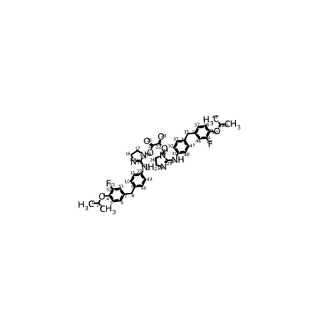 CC(C)Oc1ccc(Cc2ccc(NC3=NCCN3OC(=O)C(=O)ON3CCN=C3Nc3ccc(Cc4ccc(OC(C)C)c(F)c4)cc3)cc2)cc1F